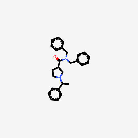 CC(c1ccccc1)N1CCC(C(=O)N(Cc2ccccc2)Cc2ccccc2)C1